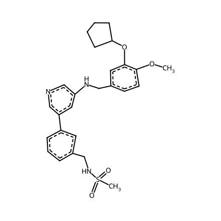 COc1ccc(CNc2cncc(-c3cccc(CNS(C)(=O)=O)c3)c2)cc1OC1CCCC1